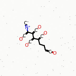 [C-]#[N+]C(=C=O)C(=C=O)C(=C=O)C(=C=O)CCC=C=O